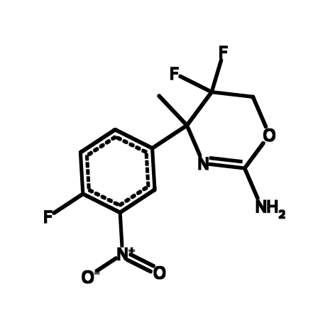 CC1(c2ccc(F)c([N+](=O)[O-])c2)N=C(N)OCC1(F)F